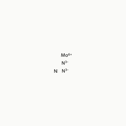 [Mo+6].[N-3].[N-3].[N]